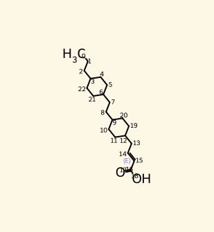 CCCC1CCC(CCC2CCC(C/C=C/C(=O)O)CC2)CC1